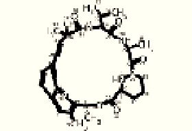 Cc1cc2ccc3cc2nc1[C@@H](C)OC(=O)[C@@H]1CCCN(N1)C(=O)[C@H](C)NC(=O)C(C(C)C)NC(=O)C(C)(C)/C=C/3